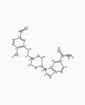 COc1ccc(N=O)cc1CCN1CCC(n2ccc3ccc(C(N)=O)cc32)CC1